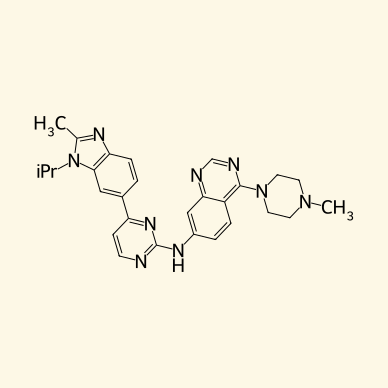 Cc1nc2ccc(-c3ccnc(Nc4ccc5c(N6CCN(C)CC6)ncnc5c4)n3)cc2n1C(C)C